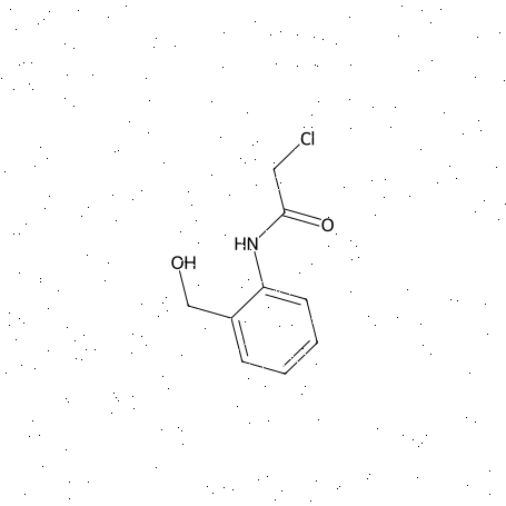 O=C(CCl)Nc1ccccc1CO